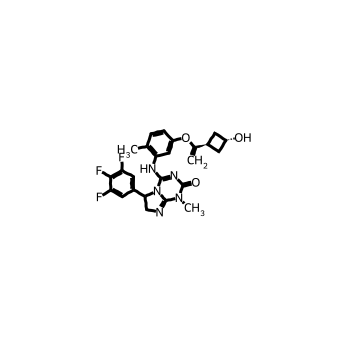 C=C(Oc1ccc(C)c(NC2=NC(=O)N(C)C3=NCC(c4cc(F)c(F)c(F)c4)N23)c1)[C@H]1C[C@H](O)C1